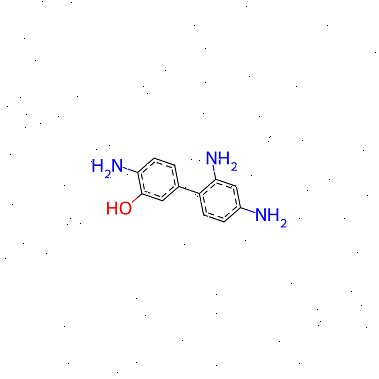 Nc1ccc(-c2ccc(N)c(O)c2)c(N)c1